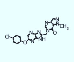 Cn1ncc2ncn(Cc3nc4ncc(Oc5ccc(Cl)cc5)nc4[nH]3)c(=O)c21